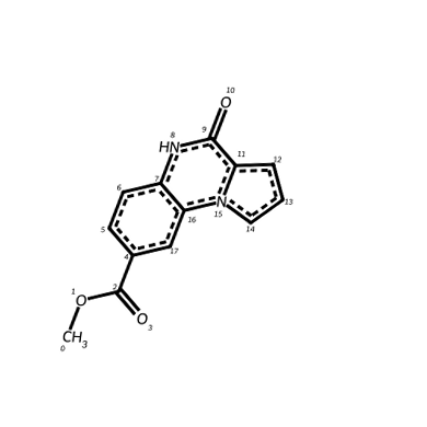 COC(=O)c1ccc2[nH]c(=O)c3cccn3c2c1